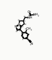 Cc1cc(C#N)ccc1-c1cnn2c1CC(CNC(N)=O)C2